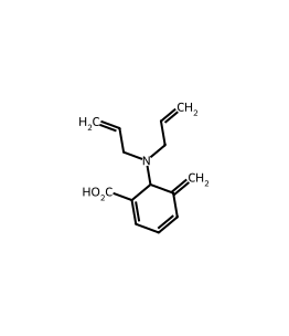 C=CCN(CC=C)C1C(=C)C=CC=C1C(=O)O